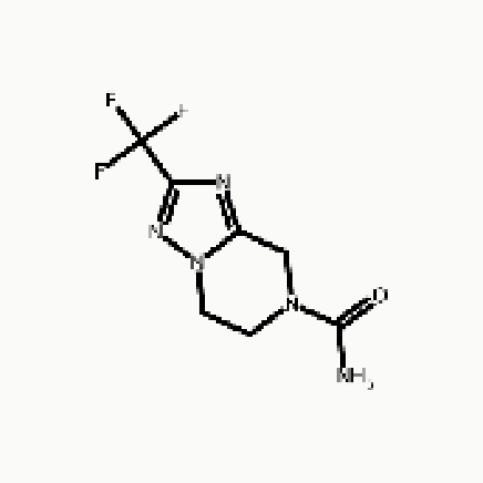 NC(=O)N1CCn2nc(C(F)(F)F)nc2C1